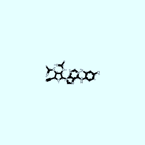 C#CC1OC(n2cnc3c(Nc4ccc(Cl)cc4F)ncnc32)C(OC(C)=O)C1OC(C)=O